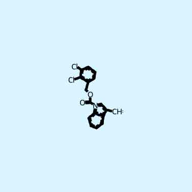 [CH]c1cn(C(=O)OCc2cccc(Cl)c2Cl)c2ccccc12